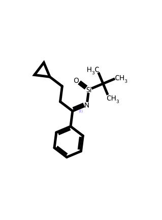 CC(C)(C)[Si](=O)/N=C(\CCC1CC1)c1ccccc1